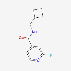 O=C(NCC1CCC1)c1ccnc(F)c1